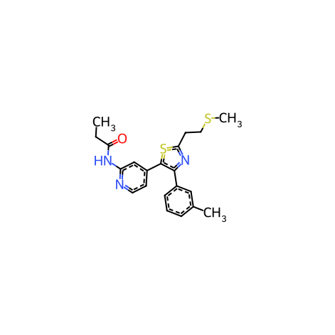 CCC(=O)Nc1cc(-c2sc(CCSC)nc2-c2cccc(C)c2)ccn1